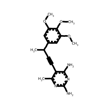 COc1cc(C(C)C#Cc2c(C)nc(N)nc2N)cc(OC)c1OC